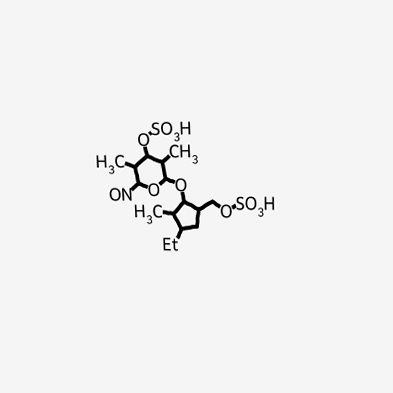 CCC1CC(COS(=O)(=O)O)C(OC2OC(N=O)C(C)C(OS(=O)(=O)O)C2C)C1C